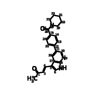 CC(=O)/C=C/c1c[nH]c2ncc(-c3ccc(C(=O)N4CCCCC4)cc3)cc12